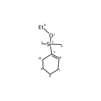 CCO[Si](C)(C)C1=CCCCC1